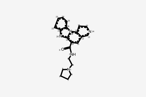 O=C(NCCN1CCCC1)c1cc2cnccc2n2c1nc1ccccc12